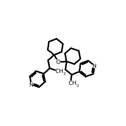 CC(CC1(OC2(CC(C)c3ccncc3)CCCCC2)CCCCC1)c1ccncc1